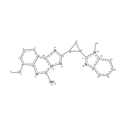 COc1cccc2c1nc(N)n1nc(C3CC3c3nc4ccccc4n3C)nc21